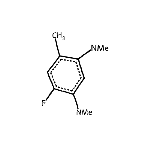 CNc1cc(NC)c(F)cc1C